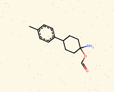 Cc1ccc(C2CCC(N)(OC=O)CC2)cc1